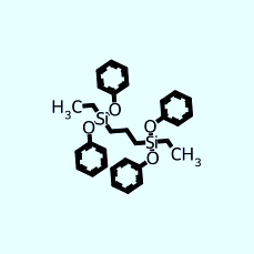 CC[Si](CCC[Si](CC)(Oc1ccccc1)Oc1ccccc1)(Oc1ccccc1)Oc1ccccc1